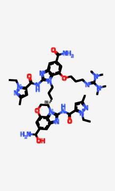 CCn1nc(C)cc1C(=O)Nc1nc2cc(C(N)=O)cc(OCCCN=C(N(C)C)N(C)C)c2n1CCC[C@H]1COc2cc(C(N)O)cc3nc(NC(=O)c4cc(C)nn4CC)n1c23